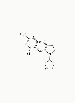 Cc1nc(Cl)c2cc3c(cc2n1)CCN3C1CCOC1